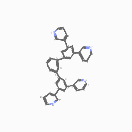 C1=NCCC=C1c1cc(-c2cccnc2)cc(-c2cccc(-c3cc(-c4cccnc4)cc(-c4cccnc4)c3)c2)c1